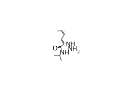 C/C=C\C=C(/NN)C(=O)NC(C)C